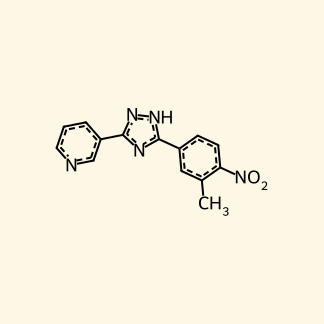 Cc1cc(-c2nc(-c3cccnc3)n[nH]2)ccc1[N+](=O)[O-]